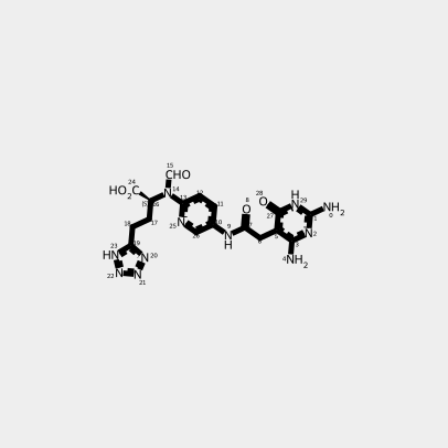 Nc1nc(N)c(CC(=O)Nc2ccc(N(C=O)[C@@H](CCc3nnn[nH]3)C(=O)O)nc2)c(=O)[nH]1